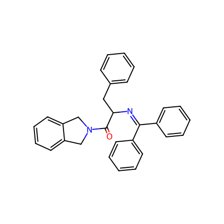 O=C(C(Cc1ccccc1)N=C(c1ccccc1)c1ccccc1)N1Cc2ccccc2C1